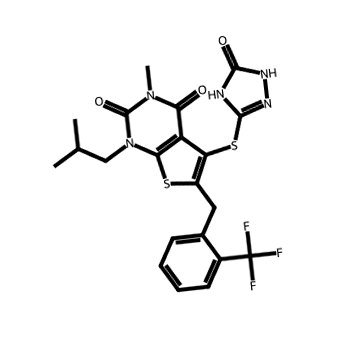 CC(C)Cn1c(=O)n(C)c(=O)c2c(Sc3n[nH]c(=O)[nH]3)c(Cc3ccccc3C(F)(F)F)sc21